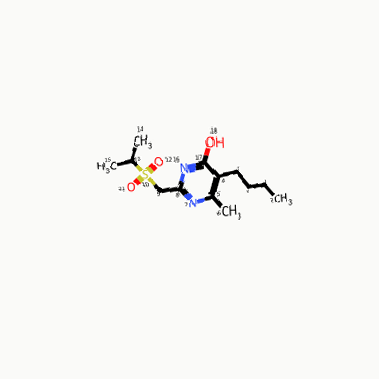 CCCCc1c(C)nc(CS(=O)(=O)C(C)C)nc1O